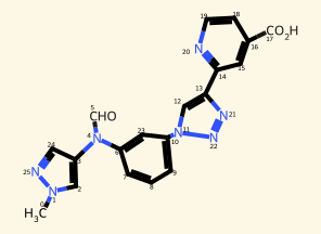 Cn1cc(N(C=O)c2cccc(-n3cc(-c4cc(C(=O)O)ccn4)nn3)c2)cn1